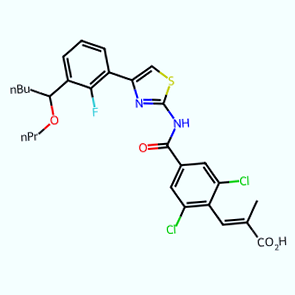 CCCCC(OCCC)c1cccc(-c2csc(NC(=O)c3cc(Cl)c(/C=C(\C)C(=O)O)c(Cl)c3)n2)c1F